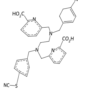 N#CSc1ccc(CN(CCN(CC2=CC=C(N=C=S)CC2)Cc2cccc(C(=O)O)n2)Cc2cccc(C(=O)O)n2)cc1